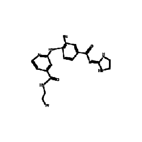 CC(C)CCNC(=O)c1ccnc(Nc2ccc(C(=O)N=C3NCCN3)cc2C(C)(C)C)c1